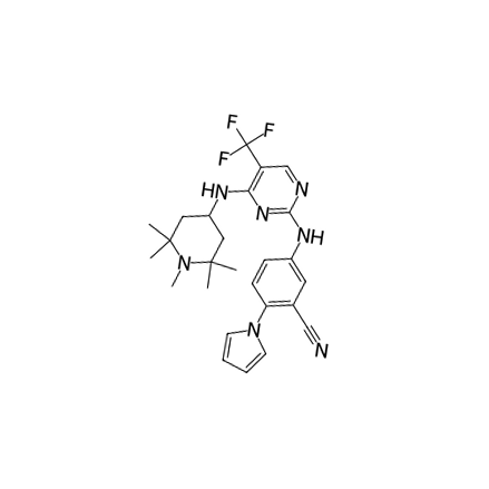 CN1C(C)(C)CC(Nc2nc(Nc3ccc(-n4cccc4)c(C#N)c3)ncc2C(F)(F)F)CC1(C)C